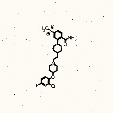 CS(=O)(=O)c1ccc(C(N)=O)c(C2CCC(CCN3CCC(Oc4ccc(F)cc4Cl)CC3)CC2)c1